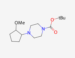 COC1CCCC1N1CCN(C(=O)OC(C)(C)C)CC1